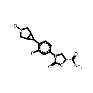 NC(=O)[C@H]1CN(c2ccc(C3C4CN(O)CC43)c(F)c2)C(=O)O1